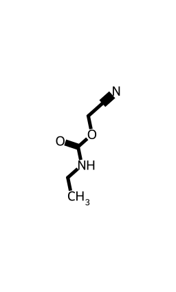 CCNC(=O)OCC#N